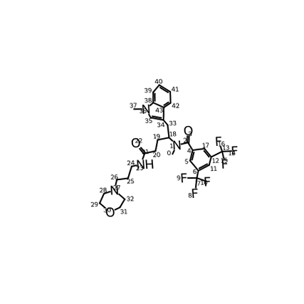 CN(C(=O)c1cc(C(F)(F)F)cc(C(F)(F)F)c1)C(CCC(=O)NCCCN1CCOCC1)Cc1cn(C)c2ccccc12